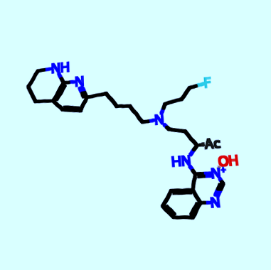 CC(=O)[C@H](CCN(CCCF)CCCCc1ccc2c(n1)NCCC2)Nc1c2ccccc2nc[n+]1O